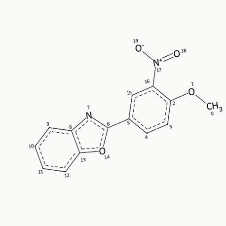 COc1ccc(-c2nc3ccccc3o2)cc1[N+](=O)[O-]